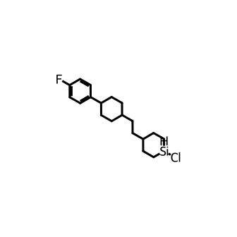 Fc1ccc(C2CCC(CCC3CC[SiH](Cl)CC3)CC2)cc1